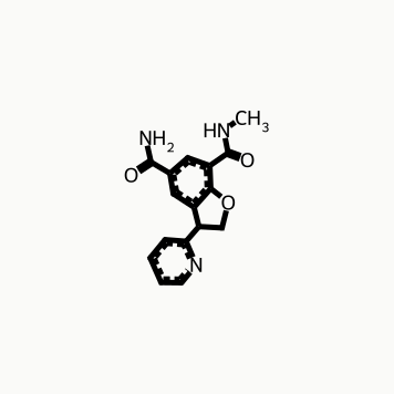 CNC(=O)c1cc(C(N)=O)cc2c1OCC2c1ccccn1